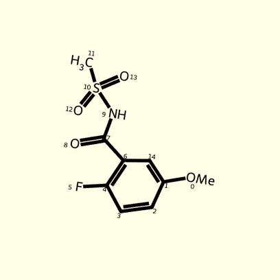 COc1ccc(F)c(C(=O)NS(C)(=O)=O)c1